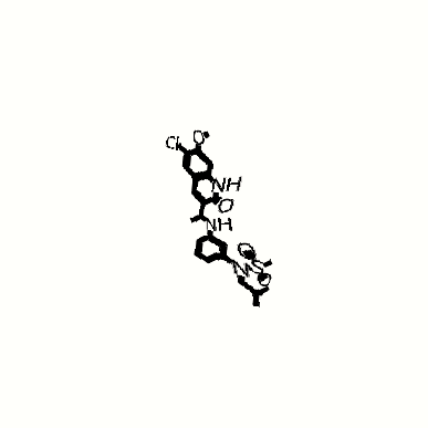 COc1cc2[nH]c(=O)c(C(C)Nc3cccc(N(CC(C)C)S(C)(=O)=O)c3)cc2cc1Cl